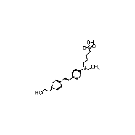 CCN(CCCCS(=O)(=O)O)c1ccc(C=CC2=CCN(CCO)C=C2)cc1